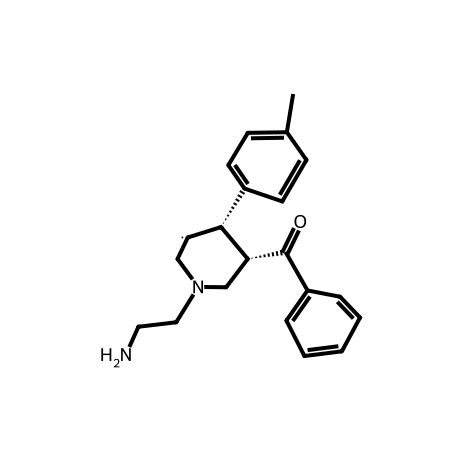 Cc1ccc([C@H]2[CH]CN(CCN)C[C@H]2C(=O)c2ccccc2)cc1